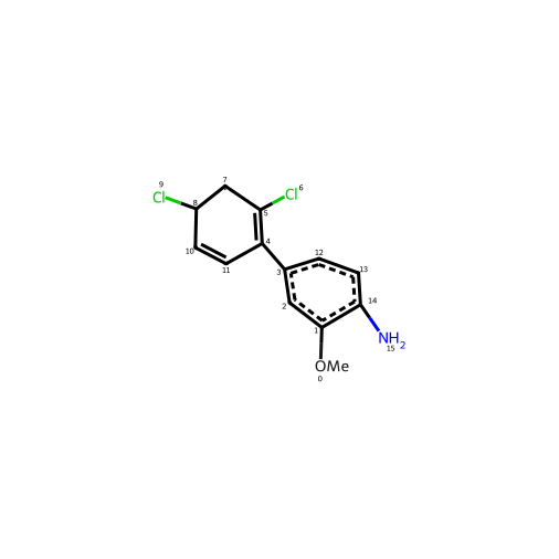 COc1cc(C2=C(Cl)[CH]C(Cl)C=C2)ccc1N